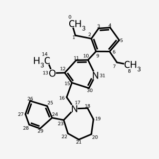 CCc1cccc(CC)c1-c1cc(OC)c(CN2CCCCCC2c2ccccc2)cn1